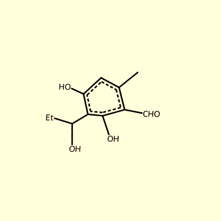 CCC(O)c1c(O)cc(C)c(C=O)c1O